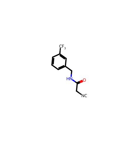 [C-]#[N+]CC(=O)NCc1cccc(C(F)(F)F)c1